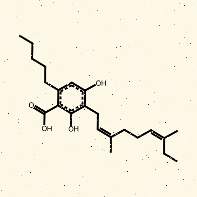 CCCCCc1cc(O)c(CC=C(C)CCC=C(C)CC)c(O)c1C(=O)O